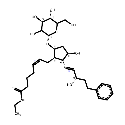 CCNC(=O)CCC/C=C\C[C@@H]1[C@@H](/C=C/[C@@H](O)CCc2ccccc2)[C@H](O)C[C@@H]1O[C@H]1OC(CO)[C@@H](O)[C@H](O)C1O